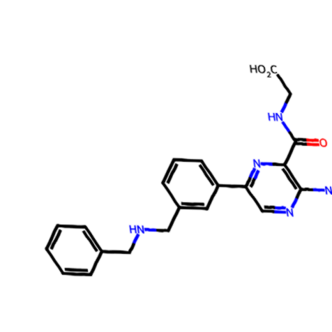 Nc1ncc(-c2cccc(CNCc3ccccc3)c2)nc1C(=O)NCC(=O)O